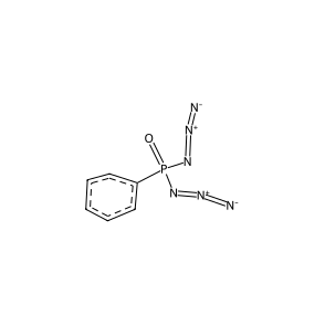 [N-]=[N+]=NP(=O)(N=[N+]=[N-])c1ccccc1